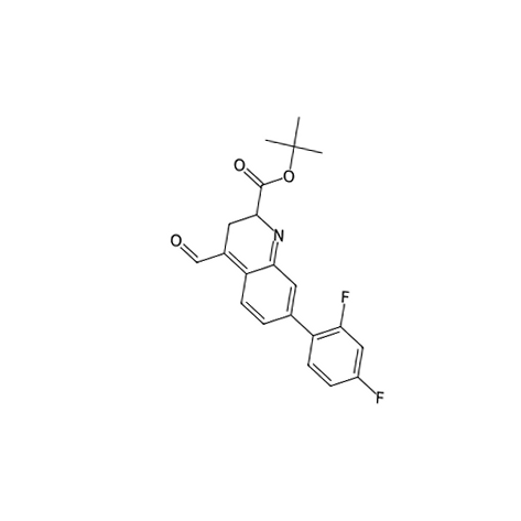 CC(C)(C)OC(=O)C1CC(C=O)=c2ccc(-c3ccc(F)cc3F)cc2=N1